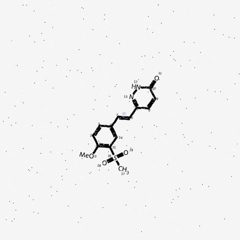 COc1ccc(/C=C/c2ccc(=O)[nH]n2)cc1S(C)(=O)=O